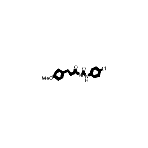 COc1ccc(CCC(=O)NC(=O)Nc2ccc(Cl)cc2)cc1